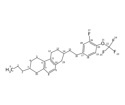 CCCC1CCc2c(ccc3c2CCC(CCc2ccc(OC(F)(F)F)c(F)c2)C3)C1